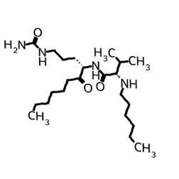 CCCCCCN[C@H](C(=O)N[C@@H](CCCNC(N)=O)C(=O)CCCCCC)C(C)C